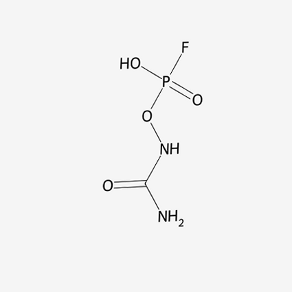 NC(=O)NOP(=O)(O)F